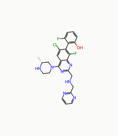 C[C@@H]1CN(c2nc(CNCc3ncccn3)nc3c(F)c(-c4c(O)cccc4F)c(Cl)cc23)CCN1